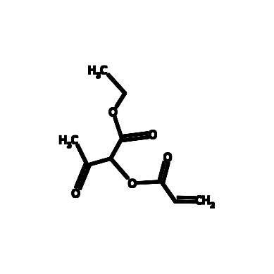 C=CC(=O)OC(C(C)=O)C(=O)OCC